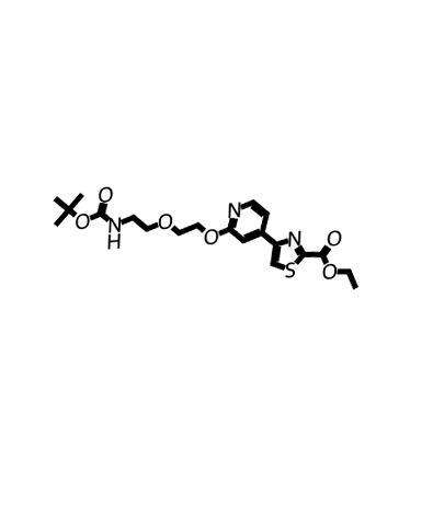 CCOC(=O)c1nc(-c2ccnc(OCCOCCNC(=O)OC(C)(C)C)c2)cs1